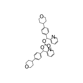 O=C(OC(c1ccc(C2CCOCC2)cc1)c1ccccn1)OC(c1ccc(C2CCOCC2)cc1)c1ccccn1